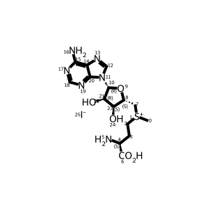 C[S+](CC[C@H](N)C(=O)O)C[C@H]1O[C@@H](n2cnc3c(N)ncnc32)[C@H](O)[C@@H]1O.[I-]